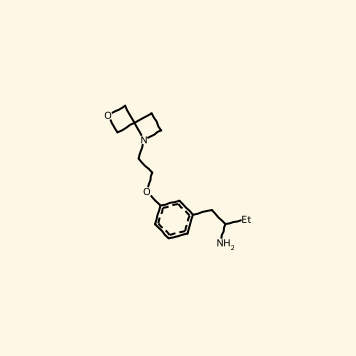 CCC(N)Cc1cccc(OCCN2CCC23COC3)c1